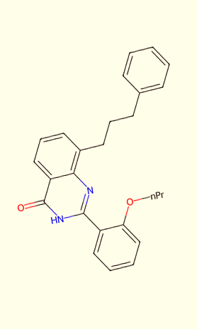 CCCOc1ccccc1-c1nc2c(CCCc3ccccc3)cccc2c(=O)[nH]1